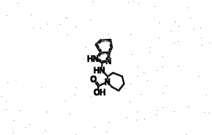 O=C(O)N1CCCCCC1Nc1nc2ccccc2[nH]1